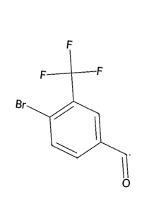 O=[C]c1ccc(Br)c(C(F)(F)F)c1